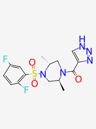 C[C@@H]1CN(C(=O)c2c[nH]nn2)[C@@H](C)CN1S(=O)(=O)c1cc(F)ccc1F